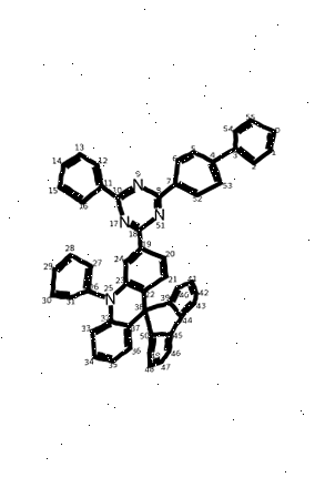 c1ccc(-c2ccc(-c3nc(-c4ccccc4)nc(-c4ccc5c(c4)N(c4ccccc4)c4ccccc4C54c5ccccc5-c5ccccc54)n3)cc2)cc1